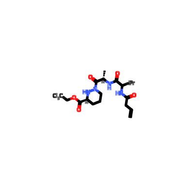 C=CCC(=O)NC(C(=O)N[C@@H](C)C(=O)N1CCC[C@@H](C(=O)OCC(Cl)(Cl)Cl)N1)C(C)C